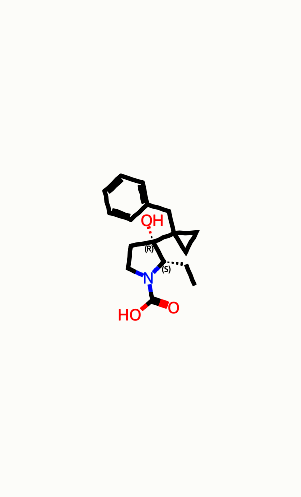 CC[C@@H]1N(C(=O)O)CC[C@@]1(O)C1(Cc2ccccc2)CC1